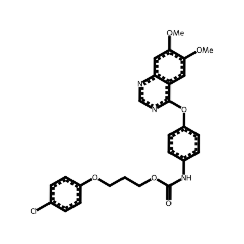 COc1cc2ncnc(Oc3ccc(NC(=O)OCCCOc4ccc(Cl)cc4)cc3)c2cc1OC